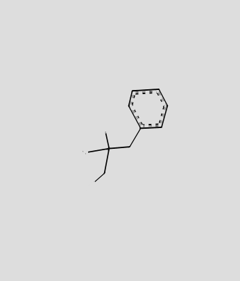 CCC(N)(CC(=O)O)Cc1ccccc1